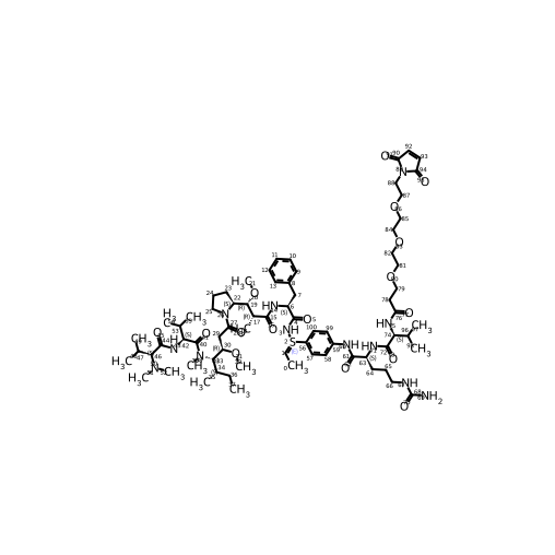 C/C=S(/NC(=O)[C@H](Cc1ccccc1)NC(=O)[C@H](C)[C@@H](OC)[C@@H]1CCCN1C(=O)C[C@@H](OC)[C@H]([C@@H](C)CC)N(C)C(=O)[C@@H](NC(=O)[C@H](C(C)C)N(C)C)C(C)C)c1ccc(NC(=O)[C@H](CCCNC(N)=O)NC(=O)[C@@H](NC(=O)CCOCCOCCOCCN2C(=O)C=CC2=O)C(C)C)cc1